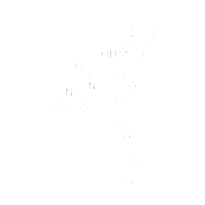 Cc1coc(N2C(=O)C(O)=C(C(=O)c3cc4ccccc4o3)C2c2ccc(OCc3ccccc3)cc2)n1